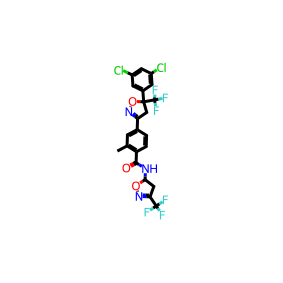 Cc1cc(C2=NOC(c3cc(Cl)cc(Cl)c3)(C(F)(F)F)C2)ccc1C(=O)NC1CC(C(F)(F)F)=NO1